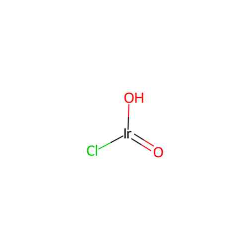 [O]=[Ir]([OH])[Cl]